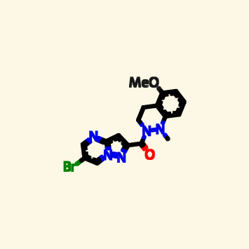 COc1cccc2c1CCN(C(=O)c1cc3ncc(Br)cn3n1)N2C